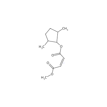 COC(=O)/C=C\C(=O)OC1C(C)CCC1C